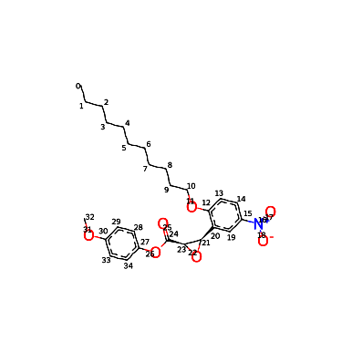 CCCCCCCCCCCOc1ccc([N+](=O)[O-])cc1[C@H]1O[C@H]1C(=O)Oc1ccc(OC)cc1